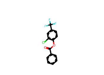 O=C(Oc1ccc(C(F)(F)F)cc1Cl)c1ccccc1